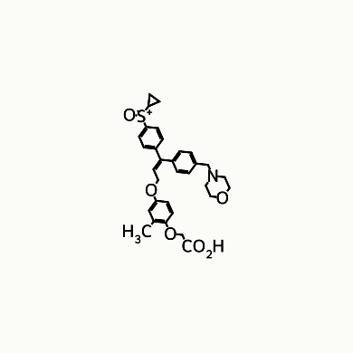 Cc1cc(OC/C=C(\c2ccc(CN3CCOCC3)cc2)c2ccc([S+]([O-])C3CC3)cc2)ccc1OCC(=O)O